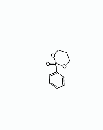 O=P1(c2ccccc2)OCCCO1